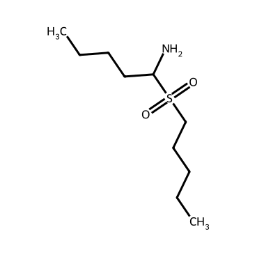 CCCCCS(=O)(=O)C(N)CCCC